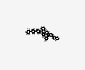 c1ccc(-c2ccc(-c3ccc(N(c4ccccc4)c4ccc(-c5ccccc5-n5c6ccccc6c6ccc(-c7ccc8ccccc8c7)cc65)cc4)cc3)cc2)cc1